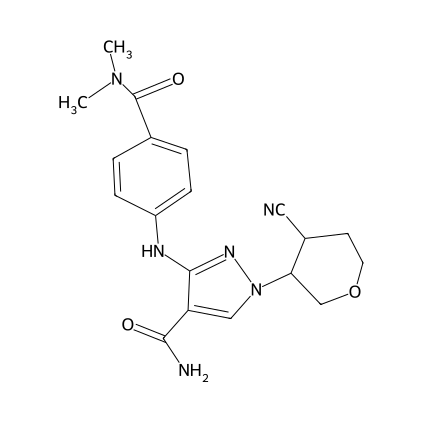 CN(C)C(=O)c1ccc(Nc2nn(C3COCCC3C#N)cc2C(N)=O)cc1